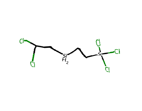 ClC(Cl)C[SiH2]CC[Si](Cl)(Cl)Cl